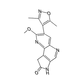 COc1nc2c3c(cnc2cc1-c1c(C)noc1C)NC(=O)C3